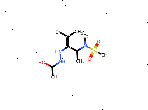 CC/C(C)=C(\NNC(C)O)C(C)N(CC)S(C)(=O)=O